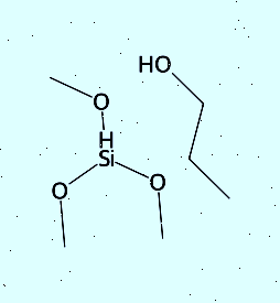 CCCO.CO[SiH](OC)OC